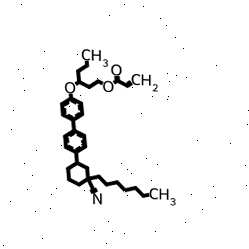 C=CC(=O)OCCC(CCC)Oc1ccc(-c2ccc(C3CCCC(C#N)(CCCCCCC)C3)cc2)cc1